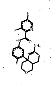 NC1=NC2(c3cc(NC(=O)c4ncc(F)cc4F)ccc3F)CCOCC2CS1